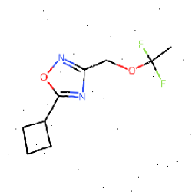 CC(F)(F)OCc1noc(C2CCC2)n1